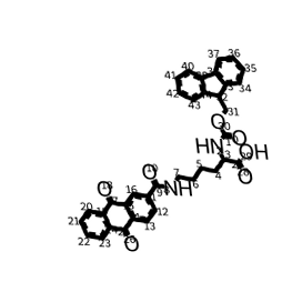 O=C(NC(CCCCNC(=O)c1ccc2c(c1)C(=O)c1ccccc1C2=O)C(=O)O)OCC1c2ccccc2-c2ccccc21